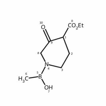 CCOC(=O)C1CCN(B(C)O)CC1=O